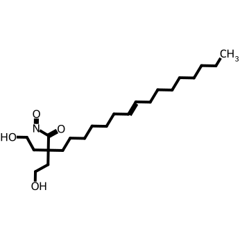 CCCCCCCCC=CCCCCCCC(CCO)(CCO)C(=O)N=O